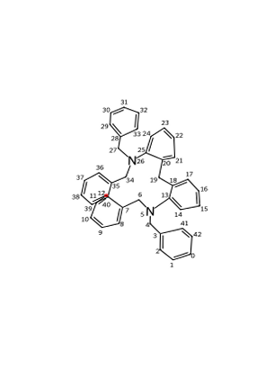 c1ccc(CN(Cc2ccccc2)c2ccccc2Cc2ccccc2N(Cc2ccccc2)Cc2ccccc2)cc1